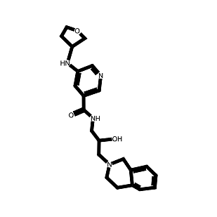 O=C(NCC(O)CN1CCc2ccccc2C1)c1cncc(NC2CCOC2)c1